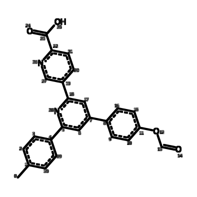 Cc1ccc(-c2cc(-c3ccc(OC=O)cc3)cc(-c3ccc(C(=O)O)nc3)n2)cc1